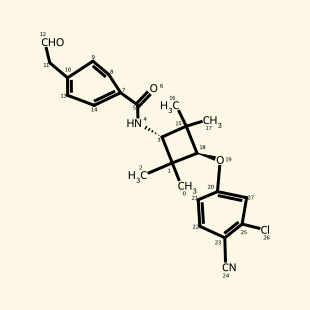 CC1(C)[C@H](NC(=O)c2ccc(CC=O)cc2)C(C)(C)[C@H]1Oc1ccc(C#N)c(Cl)c1